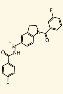 C[C@@H](NC(=O)c1ccc(F)cc1)c1ccc2c(c1)CCN2C(=O)c1cccc(F)c1